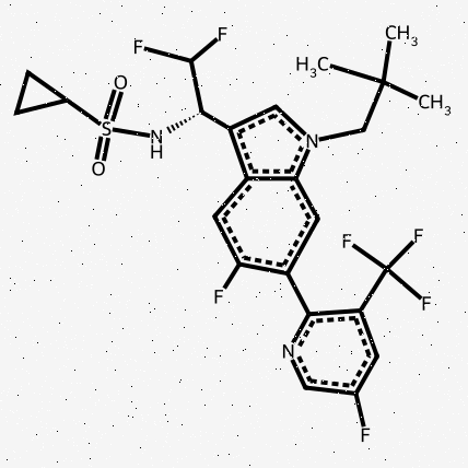 CC(C)(C)Cn1cc([C@H](NS(=O)(=O)C2CC2)C(F)F)c2cc(F)c(-c3ncc(F)cc3C(F)(F)F)cc21